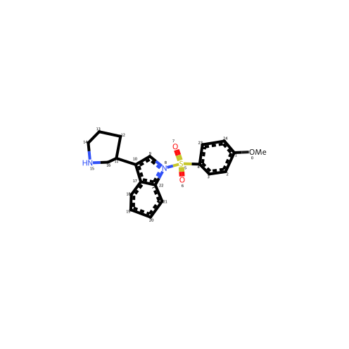 COc1ccc(S(=O)(=O)n2cc(C3CCCNC3)c3ccccc32)cc1